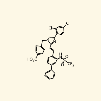 O=C(O)c1ccc(Cn2cc(-c3ccc(Cl)cc3Cl)nc2/C=C/c2ccc(-c3ccccc3)cc2NS(=O)(=O)C(F)(F)F)cc1